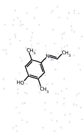 C/C=N/c1cc(C)c(O)cc1C